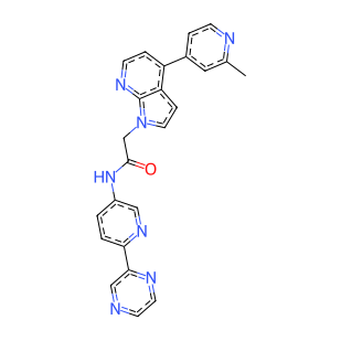 Cc1cc(-c2ccnc3c2ccn3CC(=O)Nc2ccc(-c3cnccn3)nc2)ccn1